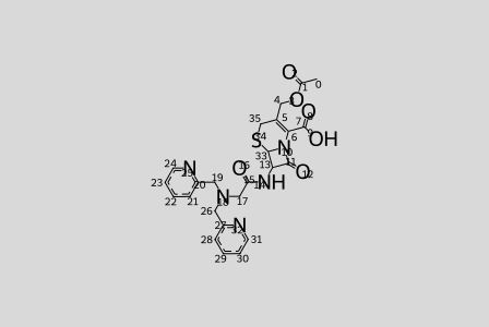 CC(=O)OCC1=C(C(=O)O)N2C(=O)C(NC(=O)CN(Cc3ccccn3)Cc3ccccn3)C2SC1